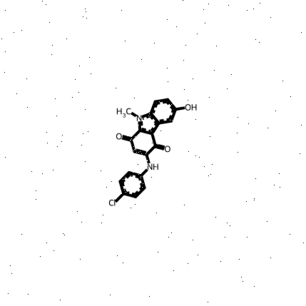 Cn1c2c(c3cc(O)ccc31)C(=O)C(Nc1ccc(Cl)cc1)=CC2=O